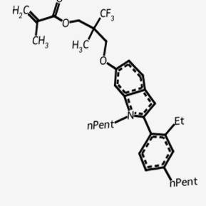 C=C(C)C(=O)OCC(C)(COc1ccc2cc(-c3ccc(CCCCC)cc3CC)n(CCCCC)c2c1)C(F)(F)F